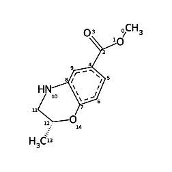 COC(=O)c1ccc2c(c1)NC[C@@H](C)O2